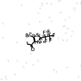 CC(=O)c1nc(C(F)(F)C(F)(F)F)sc1Br